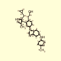 Cc1ccc(Nc2ccc3c(c2)ncn3-c2ccc(CCO)c(-c3c(C)n[nH]c3CC3CC3)n2)nn1